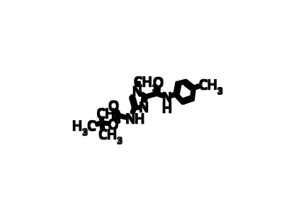 Cc1ccc(NC(=O)c2nc(NC(=O)OC(C)(C)C)cn2C)cc1